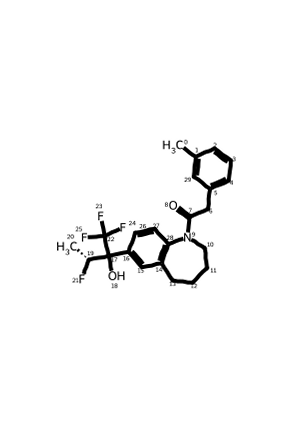 Cc1cccc(CC(=O)N2CCCCc3cc(C(O)([C@@H](C)F)C(F)(F)F)ccc32)c1